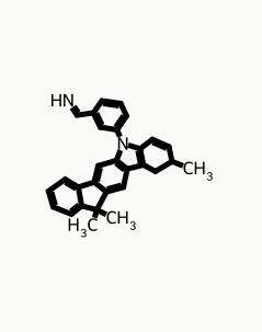 CC1C=Cc2c(c3cc4c(cc3n2-c2cccc(C=N)c2)-c2ccccc2C4(C)C)C1